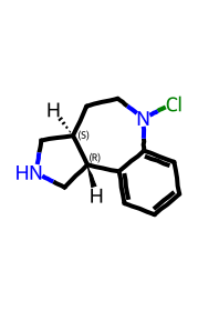 ClN1CC[C@@H]2CNC[C@H]2c2ccccc21